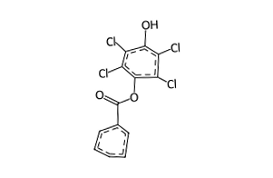 O=C(Oc1c(Cl)c(Cl)c(O)c(Cl)c1Cl)c1ccccc1